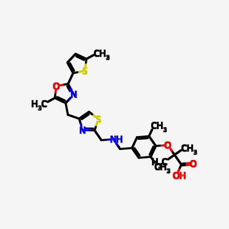 Cc1ccc(-c2nc(Cc3csc(CNCc4cc(C)c(OC(C)(C)C(=O)O)c(C)c4)n3)c(C)o2)s1